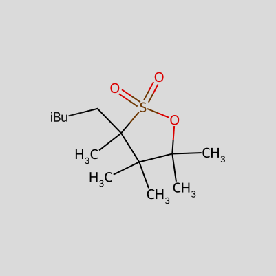 CCC(C)CC1(C)C(C)(C)C(C)(C)OS1(=O)=O